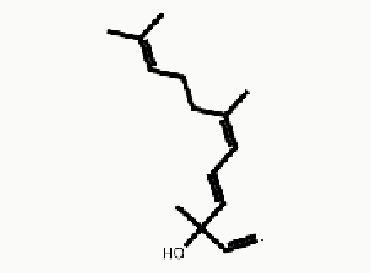 [CH]=CC(C)(O)C=CC=C(C)CCC=C(C)C